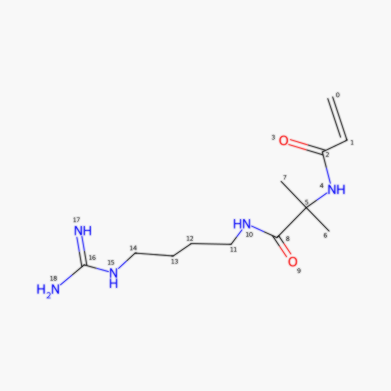 C=CC(=O)NC(C)(C)C(=O)NCCCCNC(=N)N